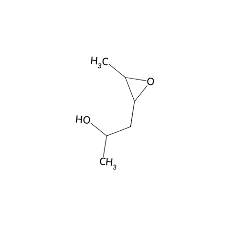 CC(O)CC1OC1C